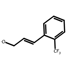 [O]C/C=C/c1ccccc1C(F)(F)F